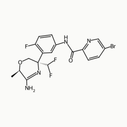 C[C@H]1OC[C@](c2cc(NC(=O)c3ccc(Br)cn3)ccc2F)(C(F)F)N=C1N